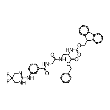 O=C(CNC(=O)c1cccc(NC2=NCC(F)(F)CN2)c1)NC[C@@H](NC(=O)OCC1c2ccccc2-c2ccccc21)C(=O)OCc1ccccc1